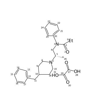 CCC(=O)N(C[C@H](C)N1CCC(Cc2ccccc2)CC1)c1ccccc1.O=C(O)C(=O)O